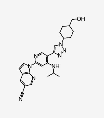 CC(C)Nc1cc(-n2ccc3cc(C#N)cnc32)ncc1-c1cn(C2CCC(CO)CC2)nn1